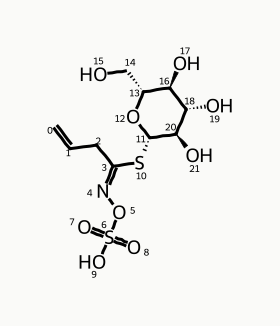 C=CC/C(=N/OS(=O)(=O)O)S[C@@H]1O[C@H](CO)[C@@H](O)[C@H](O)[C@H]1O